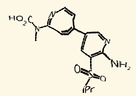 CC(C)S(=O)(=O)c1cc(-c2ccnc(N(C)C(=O)O)c2)cnc1N